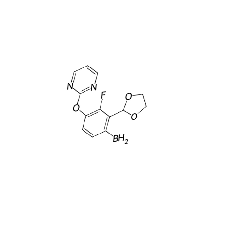 Bc1ccc(Oc2ncccn2)c(F)c1C1OCCO1